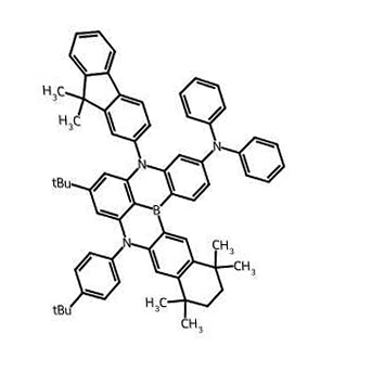 CC(C)(C)c1ccc(N2c3cc4c(cc3B3c5ccc(N(c6ccccc6)c6ccccc6)cc5N(c5ccc6c(c5)C(C)(C)c5ccccc5-6)c5cc(C(C)(C)C)cc2c53)C(C)(C)CCC4(C)C)cc1